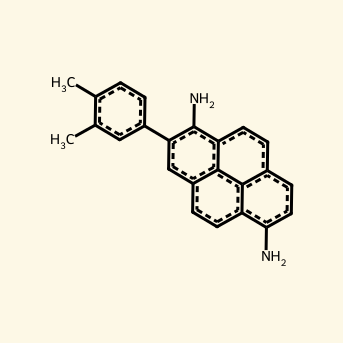 Cc1ccc(-c2cc3ccc4c(N)ccc5ccc(c2N)c3c54)cc1C